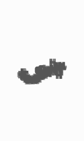 CCC1CN(c2ncc(NC(=N)C(=N)NC3CC3)cc2Cl)CCN1C1CCN(Cc2ccc(OC(F)(F)F)cc2)CC1